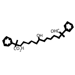 CC(C=O)(CCCCCC(O)CCCCCC(C)(C(=O)O)c1ccccc1)c1ccccc1